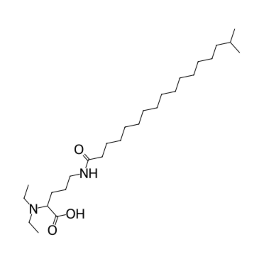 CCN(CC)C(CCCNC(=O)CCCCCCCCCCCCCCC(C)C)C(=O)O